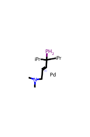 CC(C)C(P)(/C=C/CN(C)C)C(C)C.[Pd]